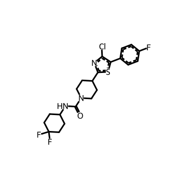 O=C(NC1CCC(F)(F)CC1)N1CCC(c2nc(Cl)c(-c3ccc(F)cc3)s2)CC1